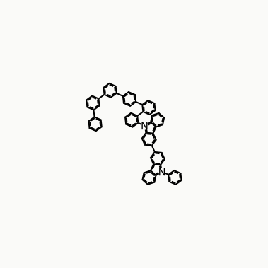 c1ccc(-c2cccc(-c3cccc(-c4ccc(-c5ccccc5-c5ccccc5-n5c6ccccc6c6cc(-c7ccc8c(c7)c7ccccc7n8-c7ccccc7)ccc65)cc4)c3)c2)cc1